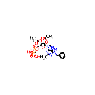 CC(=O)O[C@@H]1[C@H](OC(C)=O)[C@@H](COP(=O)(O)CP(=O)(O)O)O[C@H]1n1cnc2c(NCc3ccccc3)nc(C)nc21